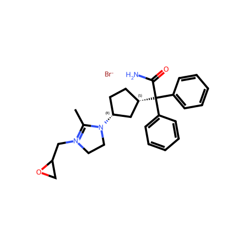 CC1=[N+](CC2CO2)CCN1[C@@H]1CC[C@H](C(C(N)=O)(c2ccccc2)c2ccccc2)C1.[Br-]